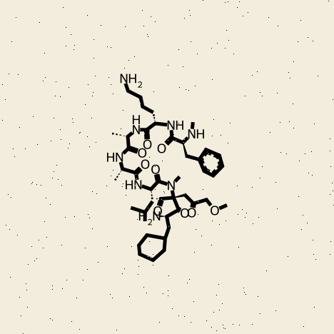 CN[C@@H](Cc1ccccc1)C(=O)N[C@@H](CCCCN)C(=O)N[C@@H](C)C(=O)N[C@@H](C)C(=O)N[C@@H](CC(C)C)C(=O)N(C)[C@]([C]=O)(CC(=O)COC)C(=O)[C@@H](N)CC1CCCCC1